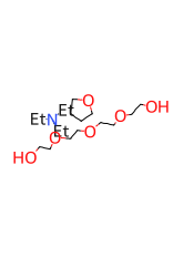 C1CCOC1.CCN(CC)CC.OCCOCCOCCOCCO